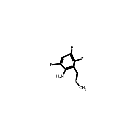 CSCc1c(N)c(F)cc(F)c1F